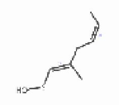 C/C=C\C/C(C)=C/SO